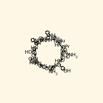 CCCC[C@H]1C(=O)N(C)[C@@H](CCCC)C(=O)N[C@@H](CC(C)C)C(=O)N[C@H](C(=O)NCC(N)=O)CSCC(=O)N[C@@H](CCc2ccc(O)cc2)C(=O)N(C)[C@@H](C)C(=O)N[C@@H](CC(N)=O)C(=O)N2CCC[C@H]2C(=O)N[C@@H](CO)C(=O)N[C@@H](CCC(N)=O)C(=O)N2C[C@H](O)C[C@H]2C(=O)N[C@@H](Cc2c[nH]c3ccccc23)C(=O)N[C@@H](CO)C(=O)N[C@@H](Cc2c[nH]c3ccccc23)C(=O)N1C